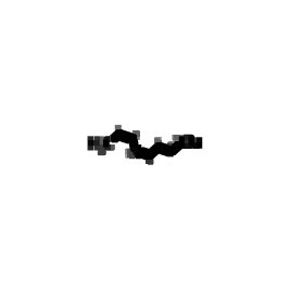 C\C=C/N=C\C=C\C(C)(C)C